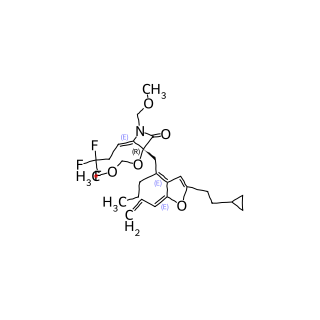 C=C/C=c1/oc(CCC2CC2)c/c1=C(/CCC)C[C@]1(OCOC)C(=O)N(COC)/C1=C/CC(F)(F)F